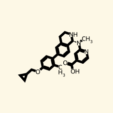 Cc1cc(OCC2CC2)ccc1-c1ccc2c(c1)CCN[C@@H]2N(C)c1cc(C(=O)O)ccn1